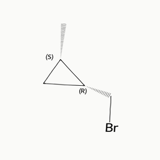 C[C@H]1C[C@H]1CBr